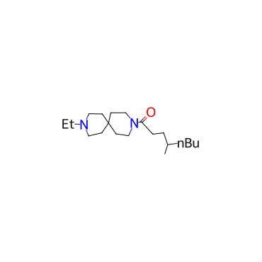 CCCCC(C)CCC(=O)N1CCC2(CCN(CC)CC2)CC1